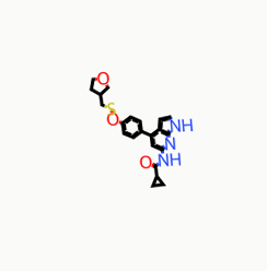 O=C(Nc1cc(-c2ccc(OSCC3CCOC3)cc2)c2cc[nH]c2n1)C1CC1